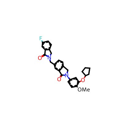 COc1ccc(N2Cc3ccc(CN4Cc5ccc(F)cc5C4=O)cc3C2=O)cc1OC1CCCC1